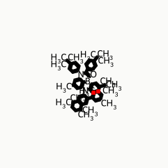 Cc1ccc(C)c(-c2cc3c(cc2N2c4ccc(C(C)(C)C)cc4B4c5oc6cc(C(C)(C)C)ccc6c5N(c5ccc(C(C)(C)C)cc5)c5cc(C)cc2c54)C(C)(C)CCC3(C)C)c1